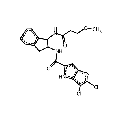 COCCC(=O)NC1c2ccccc2CC1NC(=O)c1cc2sc(Cl)c(Cl)c2[nH]1